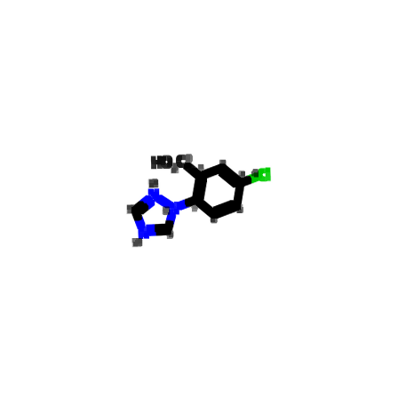 O=C(O)c1cc(Cl)ccc1-n1cncn1